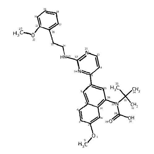 COc1ccc2cc(-c3ccnc(NCCc4ccccc4OC)n3)cc(N(C(=O)O)C(C)(C)C)c2c1